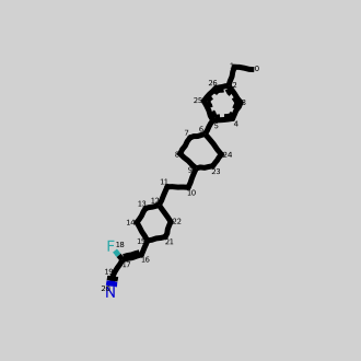 CCc1ccc(C2CCC(CCC3CCC(C=C(F)C#N)CC3)CC2)cc1